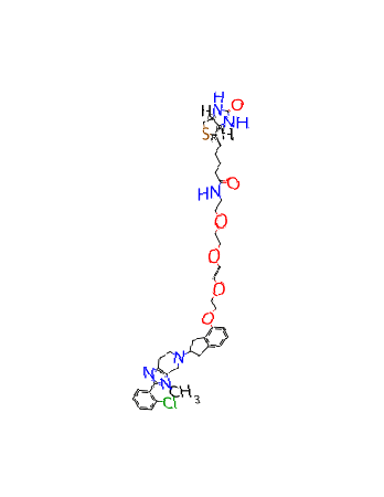 Cn1c(-c2ccccc2Cl)nc2c1CN(C1Cc3cccc(OCCOCCOCCOCCNC(=O)CCCC[C@H]4SC[C@H]5NC(=O)N[C@H]54)c3C1)CC2